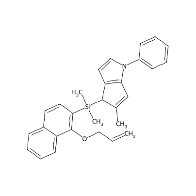 C=CCOc1c([Si](C)(C)C2C(C)=Cc3c2ccn3-c2ccccc2)ccc2ccccc12